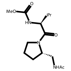 COC(=O)N[C@H](C(=O)N1CCC[C@H]1CNC(C)=O)C(C)C